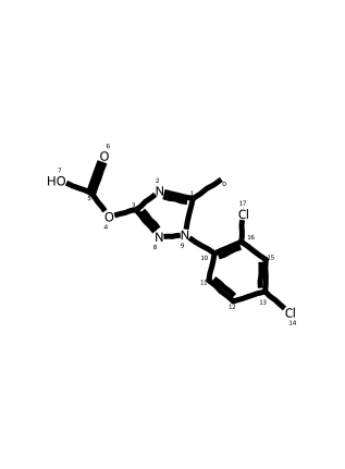 Cc1nc(OC(=O)O)nn1-c1ccc(Cl)cc1Cl